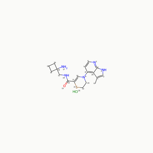 Cc1c[nH]c2nccc(N3C=C(C(=O)NCC4(N)CCC4)SCC3)c12.Cl